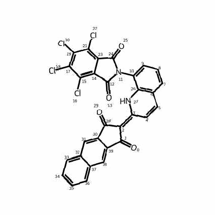 O=C1C(=C2C=Cc3cccc(N4C(=O)c5c(Cl)c(Cl)c(Cl)c(Cl)c5C4=O)c3N2)C(=O)c2cc3ccccc3cc21